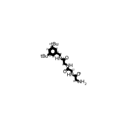 CC(C)(C)c1cc(CNC(=O)CNC(=O)CNC(=O)CN)cc(C(C)(C)C)c1